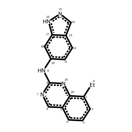 CCc1cccc2cnc(Nc3ccc4cn[nH]c4c3)nc12